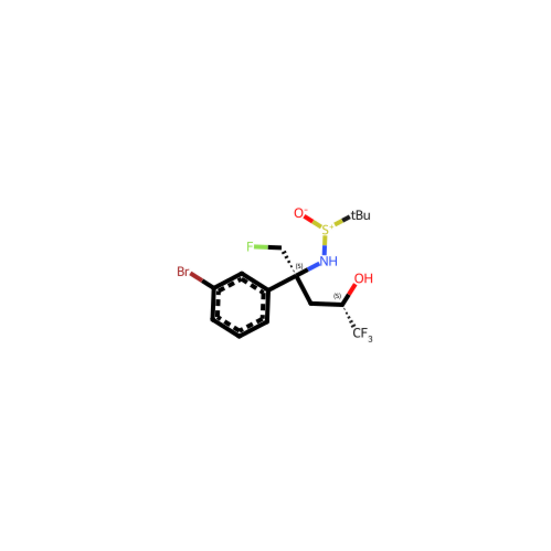 CC(C)(C)[S+]([O-])N[C@@](CF)(C[C@H](O)C(F)(F)F)c1cccc(Br)c1